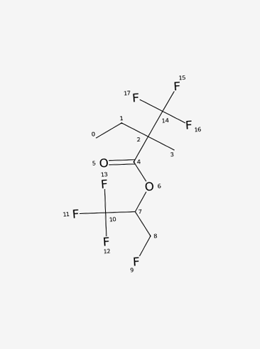 CCC(C)(C(=O)OC(CF)C(F)(F)F)C(F)(F)F